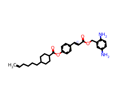 C=CCCCCC1CCC(C(=O)Oc2ccc(/C=C/C(=O)OCc3cc(N)ccc3N)cc2)CC1